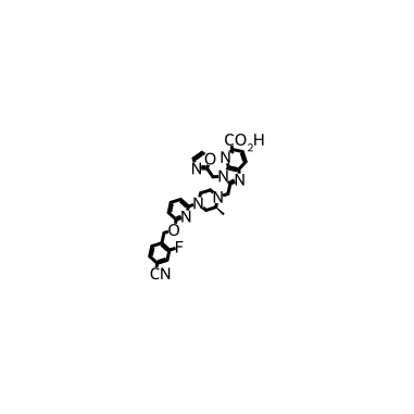 C[C@H]1CN(c2cccc(OCc3ccc(C#N)cc3F)n2)CCN1Cc1nc2ccc(C(=O)O)nc2n1Cc1ncco1